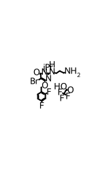 CC(C)n1c(NCCCN)nc(OCc2ccc(F)cc2F)c(Br)c1=O.O=C(O)C(F)(F)F